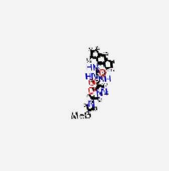 COC1CN(C2COc3c([S@](=N)(=O)NC(=O)Nc4c5c(cc6c4[C@H](C)CC6)CCC5)cnn3C2)C1